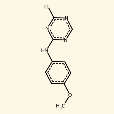 COc1ccc(Nc2ncnc(Cl)n2)cc1